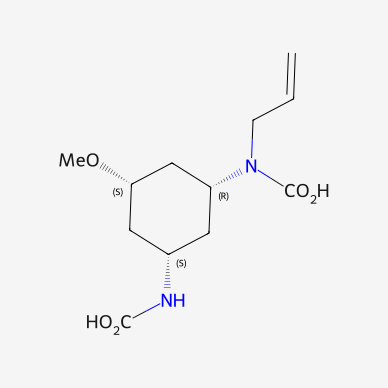 C=CCN(C(=O)O)[C@@H]1C[C@H](NC(=O)O)C[C@H](OC)C1